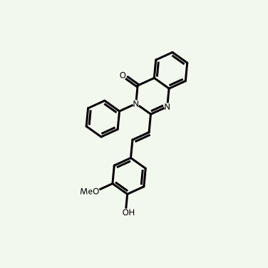 COc1cc(C=Cc2nc3ccccc3c(=O)n2-c2ccccc2)ccc1O